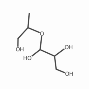 CC(CO)OC(O)C(O)CO